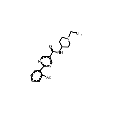 CC(=O)c1ccccc1-c1ncc(C(=O)NC2CCN(CC(F)(F)F)CC2)cn1